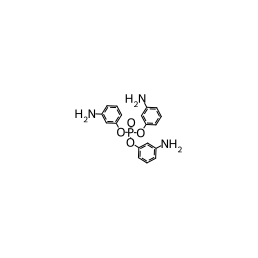 Nc1cccc(OP(=O)(Oc2cccc(N)c2)Oc2cccc(N)c2)c1